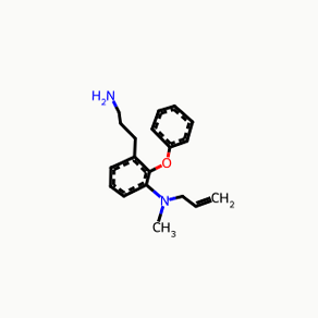 C=CCN(C)c1cccc(CCCN)c1Oc1ccccc1